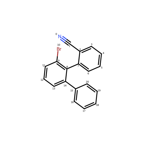 N#Cc1ccccc1-c1c(Br)[c]ccc1-c1ccccc1